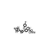 COC(=O)N1c2ccc(-c3cnn(C4C[C@@H]5CN(C)C[C@H]5C4)c3)c(Oc3ccc(F)cc3)c2CC[C@@H]1C